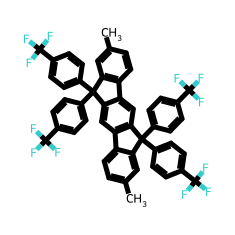 Cc1ccc2c(c1)C(c1ccc(C(F)(F)F)cc1)(c1ccc(C(F)(F)F)cc1)c1cc3c(cc1-2)C(c1ccc(C(F)(F)F)cc1)(c1ccc(C(F)(F)F)cc1)c1cc(C)ccc1-3